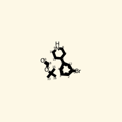 Brc1cccc(C2CCNCC2)c1.CC(C)(C)OC=O